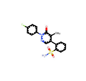 CC(C)COc1c(-c2ccccc2S(N)(=O)=O)cnn(-c2ccc(F)cc2)c1=O